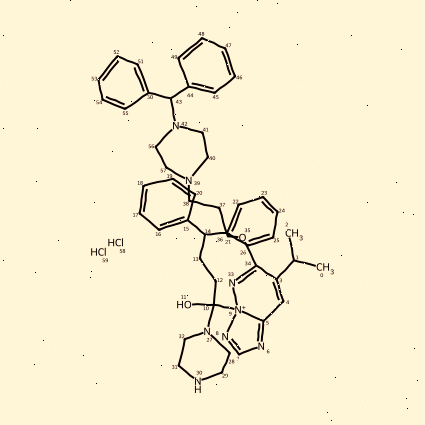 CC(C)C1=CC2=NC=N[N+]2(C(O)(CCC(c2ccccc2)c2ccccc2)N2CCNCC2)N=C1OCCCN1CCN(C(c2ccccc2)c2ccccc2)CC1.Cl.Cl